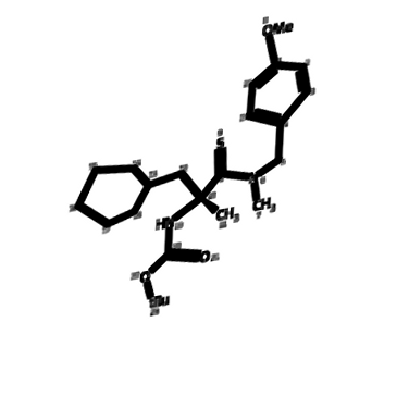 COc1ccc(CN(C)C(=S)[C@@](C)(CC2CCCCC2)NC(=O)OC(C)(C)C)cc1